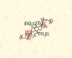 CCOC(=O)C(C(=O)OCC)=C1C2CCC(O)(CCC3OC3(C)CCC3OC3(C)C)CC2C(=C(C(=O)OCC)C(=O)OCC)C2CCC(O)(CCC3OC3(C)CCC3OC3(C)C)CC12